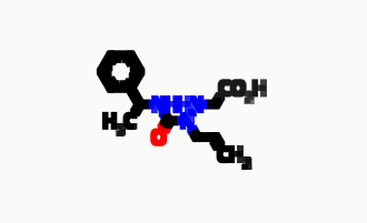 C=CCN(NCC(=O)O)C(=O)NC(C)c1ccccc1